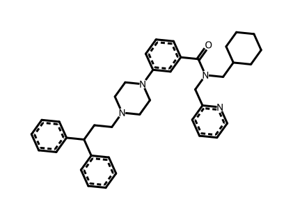 O=C(c1cccc(N2CCN(CCC(c3ccccc3)c3ccccc3)CC2)c1)N(Cc1ccccn1)CC1CCCCC1